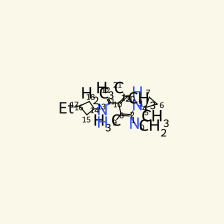 C=N/C(NC1(C)CC1)=C(\C)C(C(=C)NC1CC(CC)C1)=C(C)C